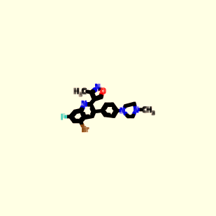 Cc1nocc1-c1nc2cc(F)cc(Br)c2cc1-c1ccc(N2CCN(C)CC2)cc1